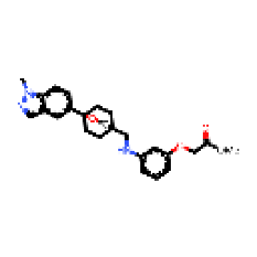 COC(=O)COc1cccc(NCC23CCC(c4ccc5c(cnn5C)c4)(CC2)OC3)c1